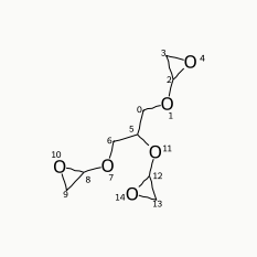 C(OC1CO1)C(COC1CO1)OC1CO1